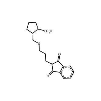 O=C1c2ccccc2C(=O)N1CCCSC[C@@H]1CCCN1C(=O)O